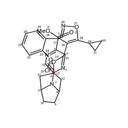 COC(=O)c1cnc(N2C3CCC2CC(OCc2c(-c4ccccc4OC(F)(F)F)noc2C2CC2)C3)cn1